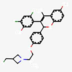 CC1=C(c2cc(O)c(F)cc2F)C(c2ccc(OC[C@H](C)N3CC(CF)C3)cc2)Oc2ccc(O)cc21